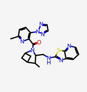 Cc1ccc(-n2nccn2)c(C(=O)N2C3CC(C3)C(C)C2CNc2nc3cccnc3s2)n1